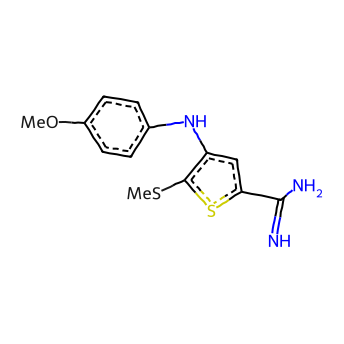 COc1ccc(Nc2cc(C(=N)N)sc2SC)cc1